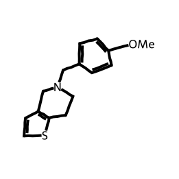 COc1ccc(CN2CCc3sccc3C2)cc1